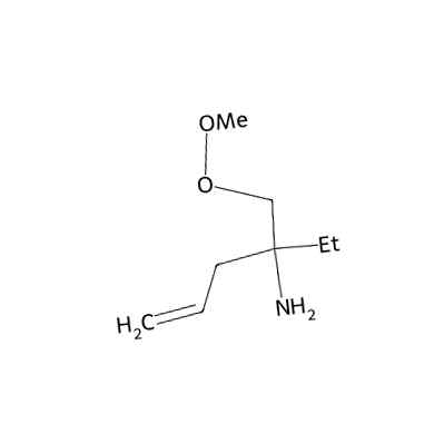 C=CCC(N)(CC)COOC